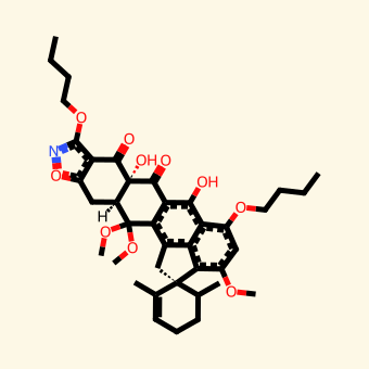 CCCCOc1noc2c1C(=O)[C@@]1(O)C(=O)c3c(c4c5c(c(OC)cc(OCCCC)c5c3O)[C@]3(C4)C(C)=CCCC3C)C(OC)(OC)[C@H]1C2